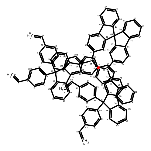 C=Cc1ccc(C2(c3ccc(C=C)cc3)c3ccccc3-c3cc(N(c4ccc(-c5ccccc5)cc4)c4ccc5c(c4)C4(c6ccccc6-5)c5ccccc5-c5ccc(N(c6ccc(-c7ccccc7)cc6)c6ccc7c(c6)C(c6ccc(C=C)cc6)(c6ccc(C=C)cc6)c6ccccc6-7)cc54)ccc32)cc1